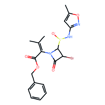 CC(C)=C(C(=O)OCc1ccccc1)N1C(=O)C(Br)C1[S+]([O-])Nc1cc(C)on1